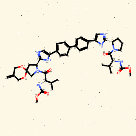 C=C1COC2(C[C@@H](c3ncc(-c4ccc(-c5ccc(-c6cnc([C@@H]7CCCN7C(=O)[C@@H](NC(=O)OC)C(C)C)[nH]6)cc5)cc4)[nH]3)N(C(=O)[C@@H](NC(=O)OC)C(C)C)C2)OC1